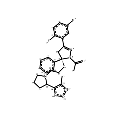 CC(=O)N1N=C(c2cc(F)ccc2F)C[C@]1(CCCN1CCCC1c1nonc1C)c1ccccc1